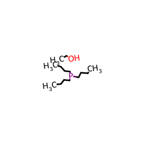 CCCCP(CCCC)CCCC.CCO